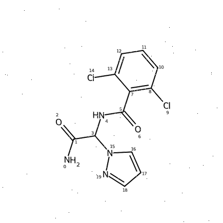 NC(=O)C(NC(=O)c1c(Cl)cccc1Cl)n1cccn1